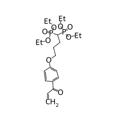 C=CC(=O)c1ccc(OCCCC(P(=O)(OCC)OCC)P(=O)(OCC)OCC)cc1